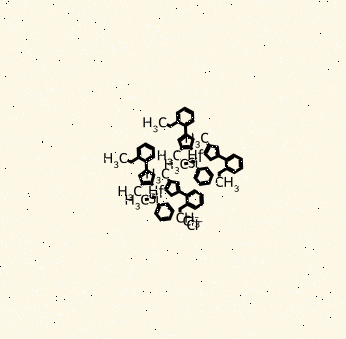 CCc1ccccc1C1=CC(C)=[C]([Hf]([C]2=C(C)C=C(c3ccccc3CC)C2)=[Si](C)c2ccccc2)C1.CCc1ccccc1C1=CC(C)=[C]([Hf]([C]2=C(C)C=C(c3ccccc3CC)C2)=[Si](C)c2ccccc2)C1.[Cl-].[Cl-]